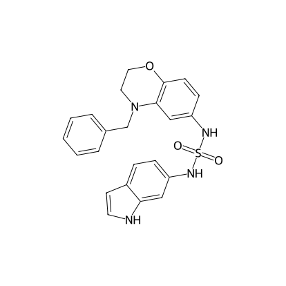 O=S(=O)(Nc1ccc2c(c1)N(Cc1ccccc1)CCO2)Nc1ccc2cc[nH]c2c1